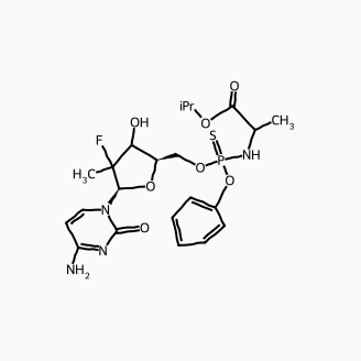 CC(C)OC(=O)C(C)NP(=S)(OC[C@H]1O[C@@H](n2ccc(N)nc2=O)C(C)(F)C1O)Oc1ccccc1